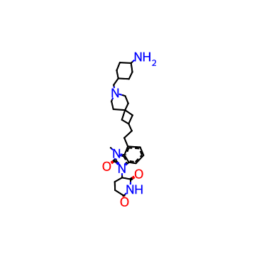 Cn1c(=O)n(C2CCC(=O)NC2=O)c2cccc(CCC3CC4(CCN(CC5CCC(N)CC5)CC4)C3)c21